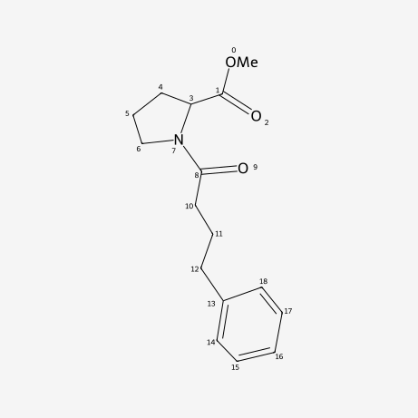 COC(=O)C1CCCN1C(=O)CCCc1ccccc1